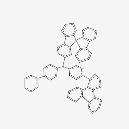 c1ccc(-c2ccc(N(c3ccc(-c4cccc5c6ccccc6c6ccccc6c45)cc3)c3ccc4c(c3)C3(c5ccccc5-c5ccccc53)c3ccccc3-4)cc2)cc1